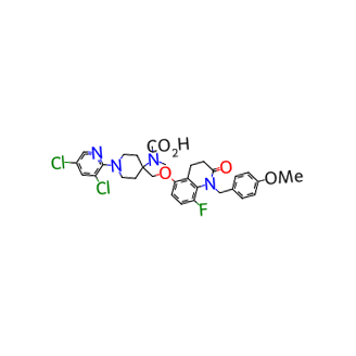 COc1ccc(CN2C(=O)CCc3c(OCC4(N(C)C(=O)O)CCN(c5ncc(Cl)cc5Cl)CC4)ccc(F)c32)cc1